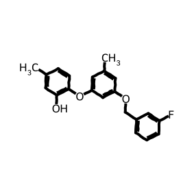 Cc1cc(OCc2cccc(F)c2)cc(Oc2ccc(C)cc2O)c1